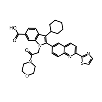 O=C(O)c1ccc2c(C3CCCCC3)c(-c3ccc4nc(-c5nccs5)ccc4c3)n(CC(=O)N3CCOCC3)c2c1